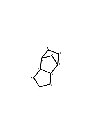 C1CC2C3CCC(C3)C2C1